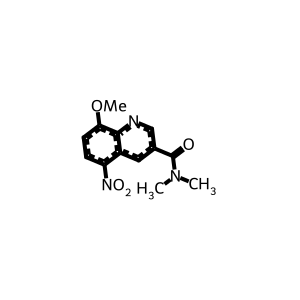 COc1ccc([N+](=O)[O-])c2cc(C(=O)N(C)C)cnc12